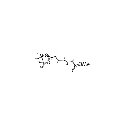 COC(=O)CCCCCB1OC(C)(C)C(C)(C)O1